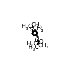 CC(C)(C)Sc1ccc(COC(=O)C(C)(C)C)cc1